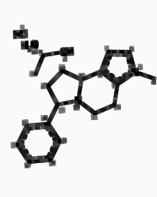 CCO.Cl.Cn1ccc2c1CCN1C(c3ccccc3)CCC21.O